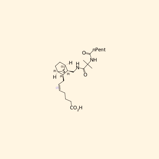 CCCCCC(=O)NC(C)(C)C(=O)NC[C@H]1[C@@H](C/C=C\CCCC(=O)O)[C@H]2CC[C@@H]1S2